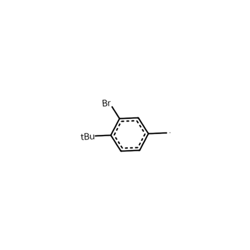 [CH2]c1ccc(C(C)(C)C)c(Br)c1